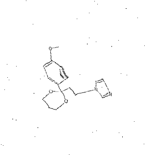 COc1ccc(C2(CCn3ccnc3)OCCCO2)cc1